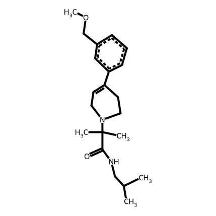 COCc1cccc(C2=CCN(C(C)(C)C(=O)NCC(C)C)CC2)c1